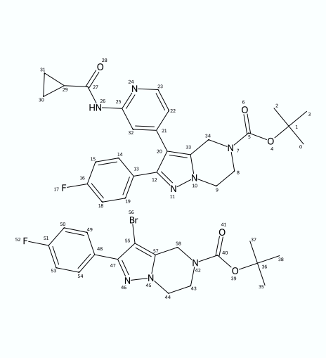 CC(C)(C)OC(=O)N1CCn2nc(-c3ccc(F)cc3)c(-c3ccnc(NC(=O)C4CC4)c3)c2C1.CC(C)(C)OC(=O)N1CCn2nc(-c3ccc(F)cc3)c(Br)c2C1